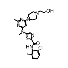 Cc1nc(N2CCN(CCO)CC2)cc(N(C)c2cnc(C(=O)Nc3c(C)cccc3Cl)s2)n1